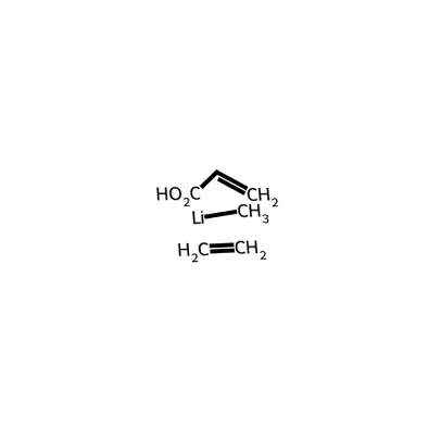 C=C.C=CC(=O)O.[Li][CH3]